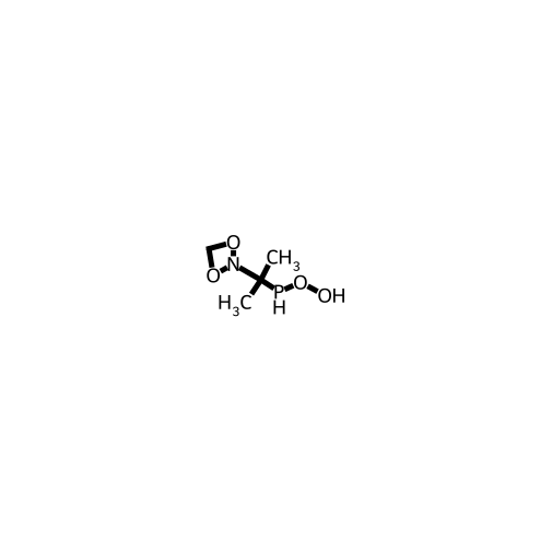 CC(C)(POO)N1OCO1